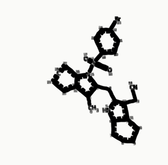 Cc1c(Cc2[nH]c3ccccc3c2CC#N)n(S(=O)(=O)c2ccc(Br)cc2)c2ccccc12